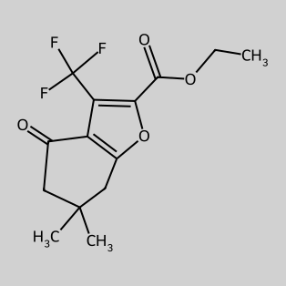 CCOC(=O)c1oc2c(c1C(F)(F)F)C(=O)CC(C)(C)C2